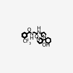 O=C(CNC(=O)c1cccc(C(F)(F)F)c1)N[C@@H]1CCN(C2(c3cnccc3O)CCCCC2)C1